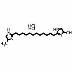 CC1CNC(CCCCCCCCCCCCC2=NC(C)CN2)=N1.Cl.Cl